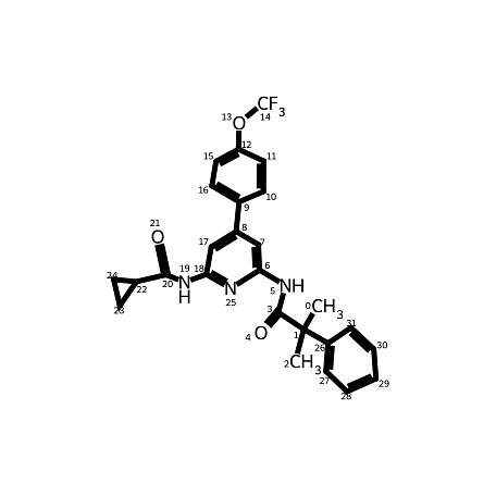 CC(C)(C(=O)Nc1cc(-c2ccc(OC(F)(F)F)cc2)cc(NC(=O)C2CC2)n1)c1ccccc1